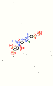 NC(=O)Nc1cc(Nc2nc(Cl)nc(Nc3ccc(S(=O)(=O)CCOS(=O)(=O)O)cc3)n2)ccc1/N=N/c1cc2c(S(=O)(=O)O)cc(S(=O)(=O)O)cc2cc1S(=O)(=O)O